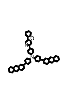 c1ccc2cc3cc(-c4ccc(N(c5ccc(-c6ccc7cc8ccccc8cc7c6)cc5)c5ccc(-c6cc7oc8ccccc8c7cn6)cc5)cc4)ccc3cc2c1